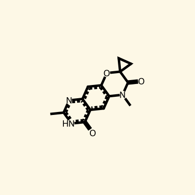 Cc1nc2cc3c(cc2c(=O)[nH]1)N(C)C(=O)C1(CC1)O3